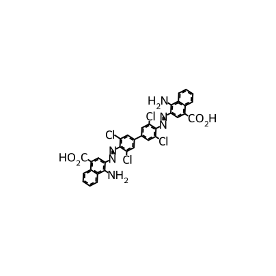 Nc1c(/N=N/c2c(Cl)cc(-c3cc(Cl)c(/N=N/c4cc(C(=O)O)c5ccccc5c4N)c(Cl)c3)cc2Cl)cc(C(=O)O)c2ccccc12